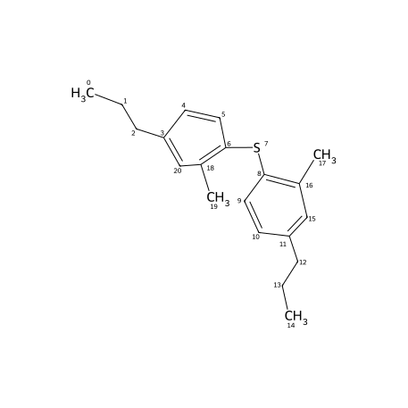 CCCc1ccc(Sc2ccc(CCC)cc2C)c(C)c1